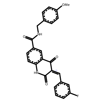 COc1ccc(CNC(=O)c2ccc3c(c2)C(=O)/C(=C/c2cccc(F)c2)C(=O)N3)cc1